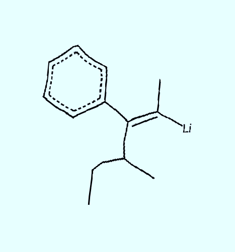 [Li][C](C)=C(c1ccccc1)C(C)CC